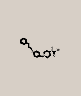 O=C(O)NC1CCN(Cc2ccc(OCCCc3ccccc3)cc2)CC1